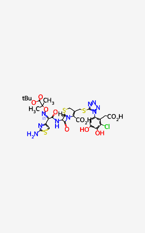 CC(C)(C)OC(=O)C(C)(C)O/N=C(\C(=O)NC1C(=O)N2C(C(=O)O)=C(CSc3nnnn3-c3cc(O)c(O)c(Cl)c3CC(=O)O)CS[C@H]12)c1csc(N)n1